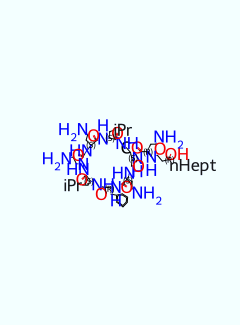 CCCCCCC[C@@H](O)CC(=O)N[C@H](CCN)C(=O)N[C@H]1CCNC(=O)[C@H](CC(C)C)NC(=O)[C@H](CCN)NC(=O)N(CCN)NC(=O)[C@H](CC(C)C)NC(=O)[C@@H](Cc2ccccc2)NC(=O)[C@H](CCN)NC1=O